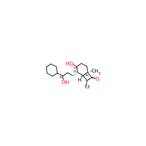 CCC1C(=O)[C@]2(C)CC[C@H](O)[C@@H](CC[C@@H](O)C3CCCCC3)[C@H]12